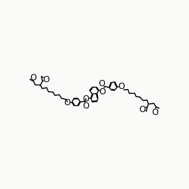 O=C(Oc1cccc2c(OC(=O)c3ccc(OCCCCCCCCC(CC4CO4)C4CO4)cc3)cccc12)c1ccc(OCCCCCCCCC(CC2CO2)C2CO2)cc1